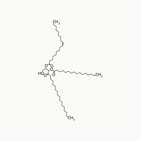 CCCCCCCC/C=C\CCCCCCCC(=O)OC(CO)C(OC(=O)CCCCCCCCCCCCCCC)C(=O)CCCCCCCCCCCCCCCCC